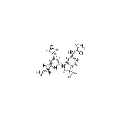 CC(=O)Nc1cc2c(cn1)C1(CC1)CN2c1cc(C2COC2)nc(C(C)(F)F)n1